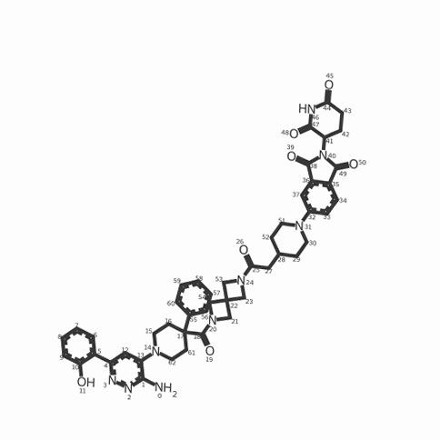 Nc1nnc(-c2ccccc2O)cc1N1CCC(C(=O)N2CC3(CN(C(=O)CC4CCN(c5ccc6c(c5)C(=O)N(C5CCC(=O)NC5=O)C6=O)CC4)C3)C2)(c2ccccc2)CC1